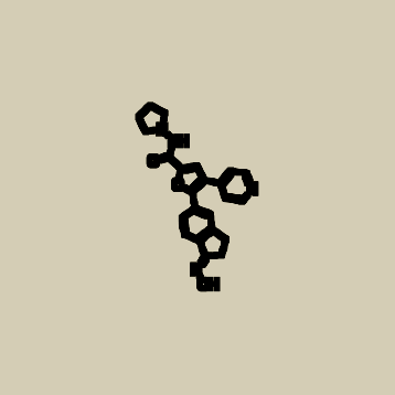 O=C(NN1CCCC1)c1cc(-c2ccncc2)c(-c2ccc3c(c2)CCC3=NO)o1